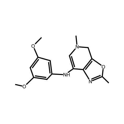 COc1cc(NC2=CN(C)Cc3oc(C)nc32)cc(OC)c1